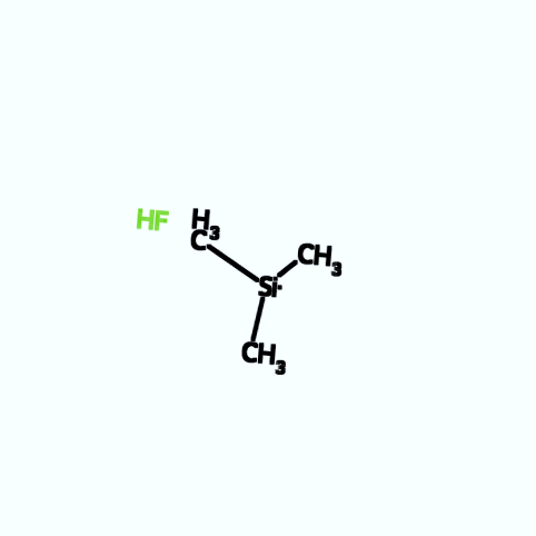 C[Si](C)C.F